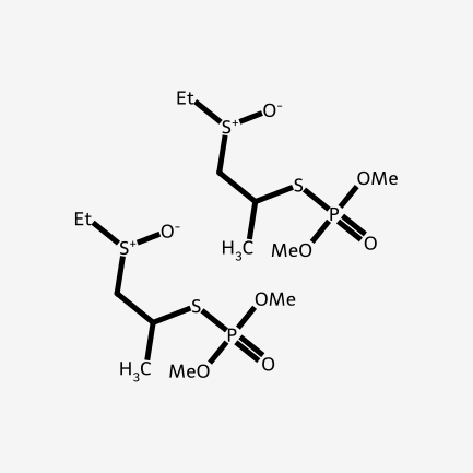 CC[S+]([O-])CC(C)SP(=O)(OC)OC.CC[S+]([O-])CC(C)SP(=O)(OC)OC